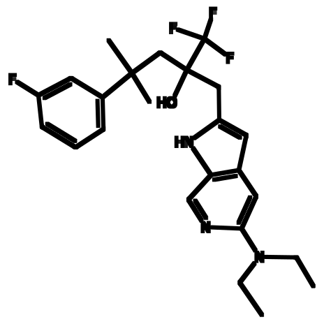 CCN(CC)c1cc2cc(CC(O)(CC(C)(C)c3cccc(F)c3)C(F)(F)F)[nH]c2cn1